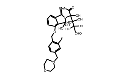 CNC(=O)C(O)(N1C(=O)c2cccc(OCc3ccc(CN4CCOCC4)cc3F)c2C1(O)O)C(O)(O)C(O)(O)C=O